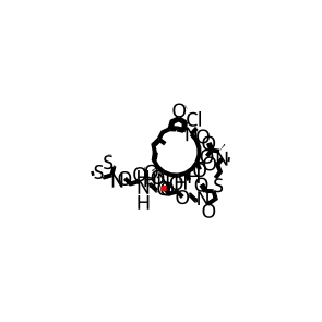 COc1cc2cc(c1Cl)N(C)C(=O)C[C@H](OC(=O)[C@H](C)N(C)C(=O)CCSC1CC(=O)N(CCOCCOCCNC(=O)CON=C(CSC)CSC)C1=O)[C@]1(C)O[C@H]1C(C)[C@@H]1C[C@@](O)(NC(=O)O1)[C@H](OC)/C=C/C=C(\C)C2